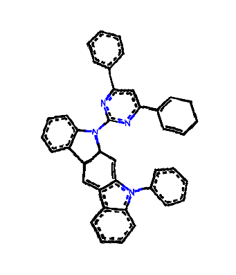 C1=CC(c2cc(-c3ccccc3)nc(N3c4ccccc4C4C=c5c(n(-c6ccccc6)c6ccccc56)=CC43)n2)=CCC1